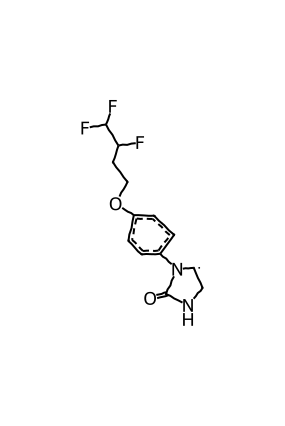 O=C1NC[CH]N1c1ccc(OCCC(F)C(F)F)cc1